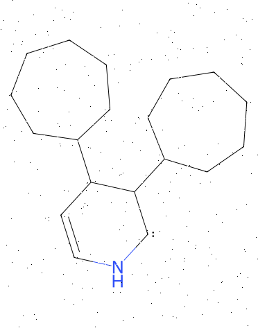 [C]1NC=CC(C2CCCCCC2)C1C1CCCCCC1